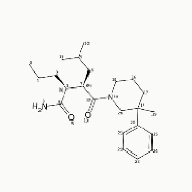 CCC[C@H](C(N)=O)[C@@H](CC(C)C)C(=O)N1CCCC(C)(c2ccccc2)C1